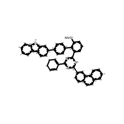 COc1cccc(-c2nc(C3=CCCC=C3)nc(-c3ccc4ccc5ccccc5c4c3)n2)c1-c1ccc(-c2ccc3c(c2)oc2ccccc23)cc1